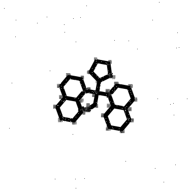 COC[Si](C1CCCO1)(N1CCCC2CCCCC21)N1CCCC2CCCCC21